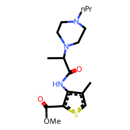 CCCN1CCN(C(C)C(=O)Nc2c(C)csc2C(=O)OC)CC1